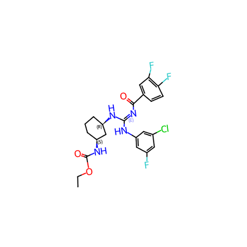 CCOC(=O)N[C@H]1CCC[C@@H](N/C(=N\C(=O)c2ccc(F)c(F)c2)Nc2cc(F)cc(Cl)c2)C1